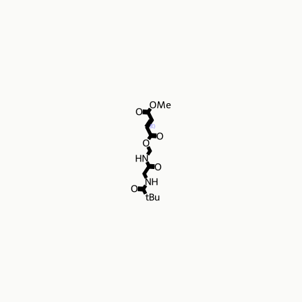 COC(=O)/C=C/C(=O)OCNC(=O)CNC(=O)C(C)(C)C